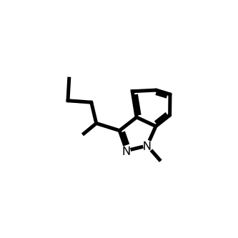 CCCC(C)c1nn(C)c2ccccc12